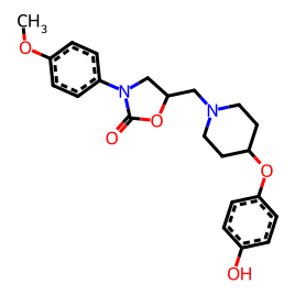 COc1ccc(N2CC(CN3CCC(Oc4ccc(O)cc4)CC3)OC2=O)cc1